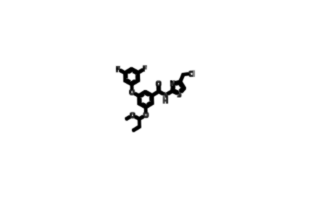 CCC(OC)Oc1cc(Oc2cc(F)cc(F)c2)cc(C(=O)Nc2nc(CCl)cs2)c1